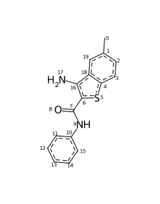 Cc1ccc2sc(C(=O)Nc3ccccc3)c(N)c2c1